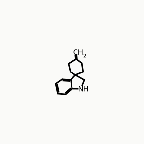 C=C1CCC2(CC1)CNc1ccccc12